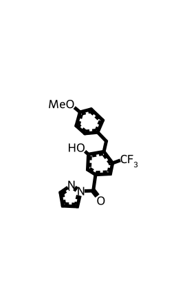 COc1ccc(Cc2c(O)cc(C(=O)n3cccn3)cc2C(F)(F)F)cc1